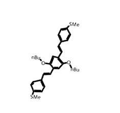 CCCCOc1cc(C=Cc2ccc(SC)cc2)c(OCCCC)cc1C=Cc1ccc(SC)cc1